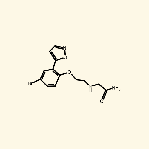 NC(=O)CNCCOc1ccc(Br)cc1-c1ccno1